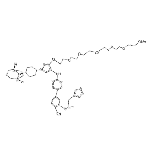 COCCOCCOCCOCCOCCOCCOc1nn([C@H]2CC[C@H](N3[C@@H]4CC[C@H]3COC4)CC2)cc1Nc1ncc(-c2ccc(C#N)c(O[C@@H](C)Cn3cnnn3)c2)cn1